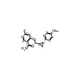 COc1ccc([C@@H]2CC2COc2nc(C)ncc2C(N)=O)nc1